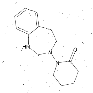 O=C1CCCCN1N1CCc2ccccc2NC1